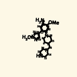 COc1cc(N2CCC(CN3CCNCC3)CC2)c(-c2cnn(C)c2)cc1N